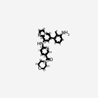 Cc1c(N)cccc1-c1cc(Nc2ccc(C(=O)N3CCOCC3)cn2)c2nccn2c1